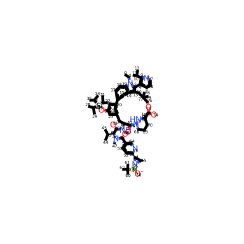 CCn1c(-c2cccnc2C(C)C)c2c3cc(ccc31)-c1cc(cc(O[Si](C(C)C)(C(C)C)C(C)C)c1)C[C@H](NC(=O)[C@H](C(C)C)N(C)C(=O)c1ccc([C@@H]3CN3[S@@+]([O-])C(C)(C)C)nc1)C(=O)N1CCC[C@H](N1)C(=O)OCC(C)(C)C2